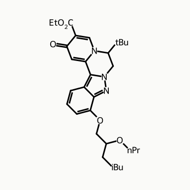 CCCOC(COc1cccc2c3n(nc12)CC(C(C)(C)C)n1cc(C(=O)OCC)c(=O)cc1-3)CC(C)CC